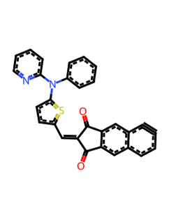 O=C1/C(=C\c2ccc(N(c3ccccc3)c3ccccn3)s2)C(=O)c2cc3ccc#cc3cc21